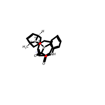 C[C@@]12C=C[C@@H](C[C@@H](n3c(=O)c(=O)[nH]c4ccccc43)C1)N2C1/C=C\CCCCC1